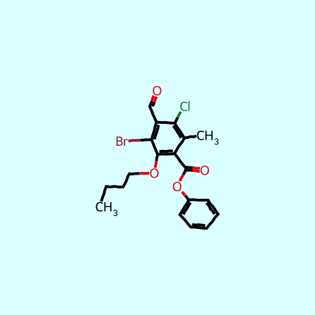 CCCCOc1c(Br)c(C=O)c(Cl)c(C)c1C(=O)Oc1ccccc1